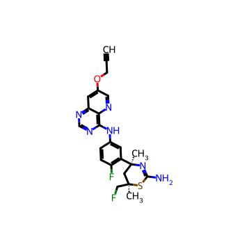 C#CCOc1cnc2c(Nc3ccc(F)c([C@]4(C)C[C@](C)(CF)SC(N)=N4)c3)ncnc2c1